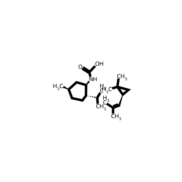 CC(C)=C[C@@H]1CC1(C)C.CC(C)[C@@H]1CC[C@@H](C)C[C@H]1NC(=O)O